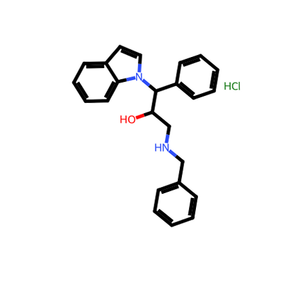 Cl.OC(CNCc1ccccc1)C(c1ccccc1)n1ccc2ccccc21